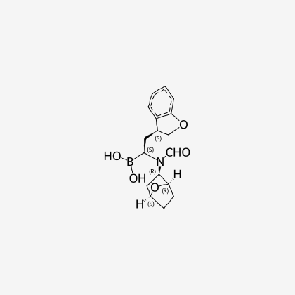 O=CN([C@H](C[C@@H]1COc2ccccc21)B(O)O)[C@@H]1C[C@@H]2CC[C@H]1O2